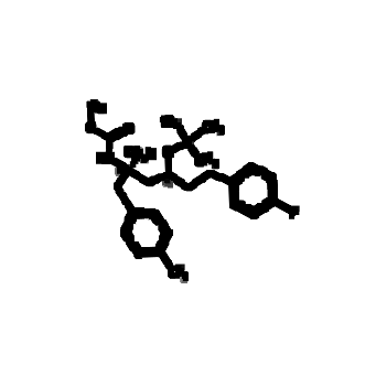 CC(C)(C)OC(=O)N[C@](Cc1ccc(C(F)(F)F)cc1)(C[C@H](CCc1ccc(F)cc1)O[Si](C)(C)C(C)(C)C)C(=O)O